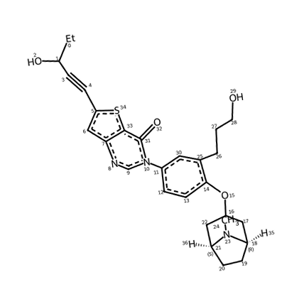 CCC(O)C#Cc1cc2ncn(-c3ccc(OC4C[C@H]5CC[C@@H](C4)N5C)c(CCCO)c3)c(=O)c2s1